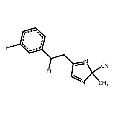 CCC(CC1=NC(C)(C#N)N=C1)c1cccc(F)c1